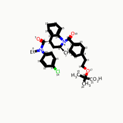 CCN(C(=O)[C@H]1C[C@H](C)N(C(=O)c2ccc(CCOC(C)(C)C(=O)O)cc2)c2ccccc21)c1ccc(Cl)cc1